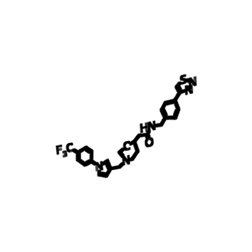 O=C(CC1CCN(Cc2ccn(-c3ccc(C(F)(F)F)cc3)c2)CC1)NCc1ccc(-c2csnn2)cc1